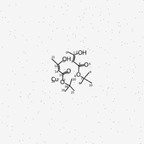 CC(O)=CC(=O)OC(C)(C)C.CC(O)=CC(=O)OC(C)(C)C.[Cu]